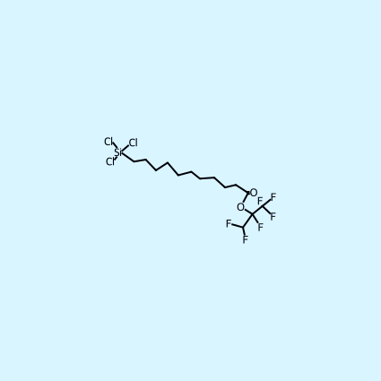 O=C(CCCCCCCCCC[Si](Cl)(Cl)Cl)OC(F)(C(F)F)C(F)(F)F